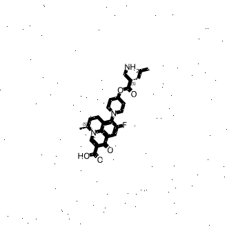 CCC[C@@H](CN)C(=O)OC1CCN(c2c(F)cc3c(=O)c(C(=O)O)cn4c3c2CC[C@@H]4C)CC1